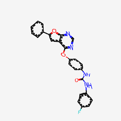 O=C(Nc1ccc(F)cc1)Nc1ccc(Oc2ncnc3oc(-c4ccccc4)cc23)cc1